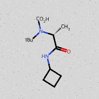 C[C@H](C(=O)NC1CCC1)N(C(=O)O)C(C)(C)C